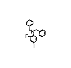 Fc1cc(I)ccc1N(Cc1ccccc1)Cc1ccccc1